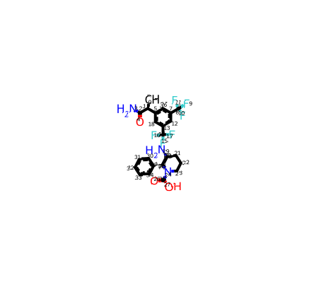 CC(C(N)=O)c1cc(C(F)(F)F)cc(C(F)(F)F)c1.N[C@H]1CCCN(C(=O)O)[C@@H]1c1ccccc1